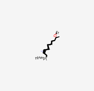 CCCCCCCC/C=C\CCCCCC(C)OCC